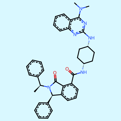 C[C@@H](c1ccccc1)N1C(=O)c2c(C(=O)N[C@H]3CC[C@@H](Nc4nc(N(C)C)c5ccccc5n4)CC3)cccc2[C@H]1c1ccccc1